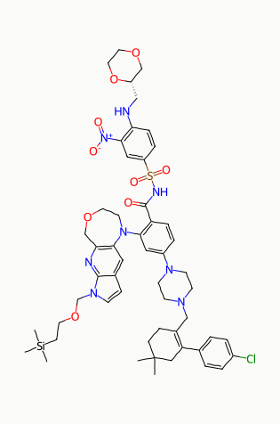 CC1(C)CCC(CN2CCN(c3ccc(C(=O)NS(=O)(=O)c4ccc(NC[C@H]5COCCO5)c([N+](=O)[O-])c4)c(N4CCOCc5nc6c(ccn6COCC[Si](C)(C)C)cc54)c3)CC2)=C(c2ccc(Cl)cc2)C1